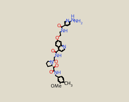 COc1cc(CNC(=O)C(=O)[C@@H]2CCCN2C(=O)CNC(=O)c2ccnc3cc(OCCNC(=O)c4ccc(NN)nc4)ccc23)ccc1C